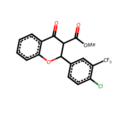 COC(=O)C1C(=O)c2ccccc2OC1c1ccc(Cl)c(C(F)(F)F)c1